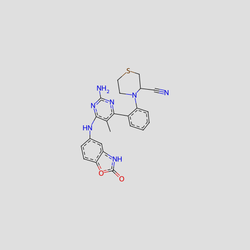 Cc1c(Nc2ccc3oc(=O)[nH]c3c2)nc(N)nc1-c1ccccc1N1CCSCC1C#N